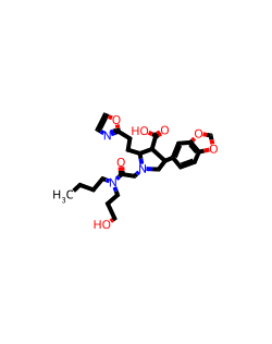 CCCCN(CCCO)C(=O)CN1CC(c2ccc3c(c2)OCO3)C(C(=O)O)C1CCc1ncco1